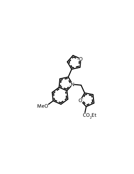 CCOC(=O)c1ccc(Cn2c(-c3ccoc3)cc3cc(OC)ccc32)o1